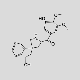 COc1cc(C(=O)C2CC(CCO)(c3ccccc3)CN2)cc(O)c1OC